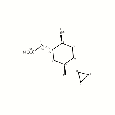 C1CC1.CC(C)[C@H]1CC[C@@H](C)C[C@@H]1NC(=O)O